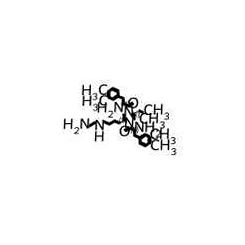 Cc1ccc(C[C@@H](N)C(=O)N2C[C@H](CCCCNCCN)N(C(=O)[C@H](N)Cc3ccc(C)c(C)c3)C[C@H]2CC(C)C)cc1C